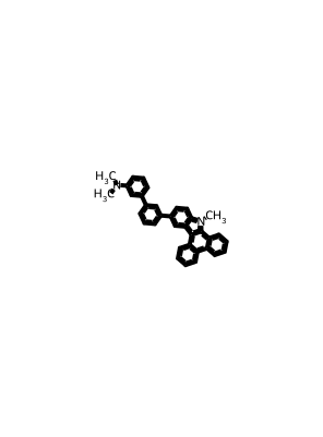 CN(C)c1cccc(-c2cccc(-c3ccc4c(c3)c3c5ccccc5c5ccccc5c3n4C)c2)c1